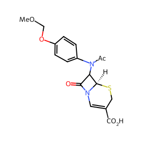 COCOc1ccc(N(C(C)=O)C2C(=O)N3C=C(C(=O)O)CS[C@H]23)cc1